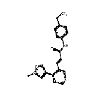 Cn1cc(-c2ccncc2/C=C/C(=O)Nc2ccc(CC(F)(F)F)cc2)cn1